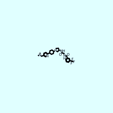 CN(C)Cc1ccc(C2CCC(N3CC[C@@H](NC(=O)CNC(=O)c4cccc(C(F)(F)F)c4)C3)CC2)nc1